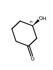 O=C1CCC[C@@H](O)C1